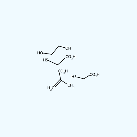 C=C(C)C(=O)O.O=C(O)CS.O=C(O)CS.OCCO